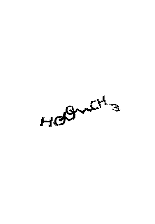 CCCCCC1CCC(O)CO1